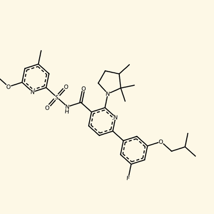 COc1cc(C)cc(S(=O)(=O)NC(=O)c2ccc(-c3cc(F)cc(OCC(C)C)c3)nc2N2CCC(C)C2(C)C)n1